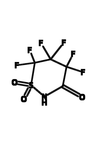 O=C1NS(=O)(=O)C(F)(F)C(F)(F)C1(F)F